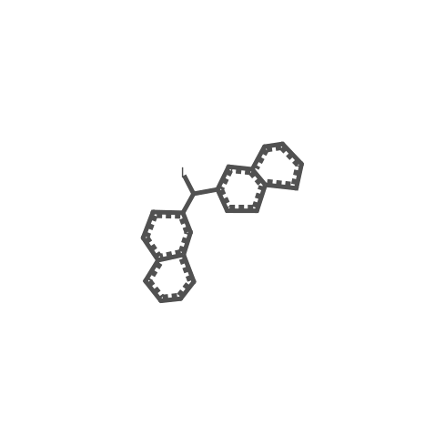 IC(c1ccc2ccccc2c1)c1ccc2ccccc2c1